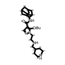 CC(C)COc1c(C(=O)NC2C3CC4CC(C3)CC2C4)cnn1CCNCC1CCNCC1